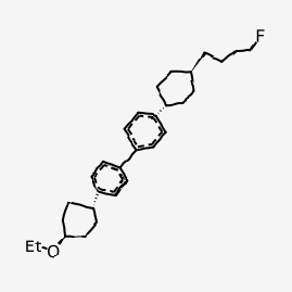 CCO[C@H]1CC[C@H](c2ccc(-c3ccc([C@H]4CC[C@H](CCCCF)CC4)cc3)cc2)CC1